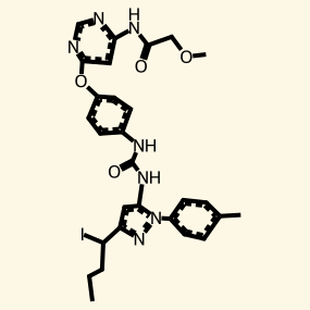 CCCC(I)c1cc(NC(=O)Nc2ccc(Oc3cc(NC(=O)COC)ncn3)cc2)n(-c2ccc(C)cc2)n1